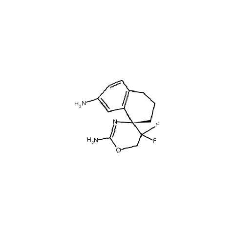 NC1=N[C@@]2(CCCc3ccc(N)cc32)C(F)(F)CO1